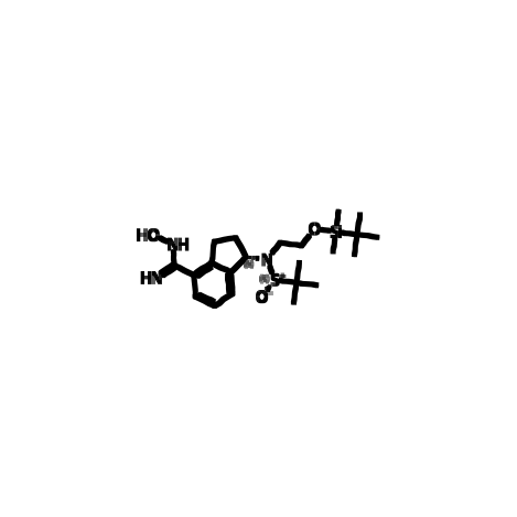 CC(C)(C)[S@@+]([O-])N(CCO[Si](C)(C)C(C)(C)C)[C@H]1CCc2c(C(=N)NO)cccc21